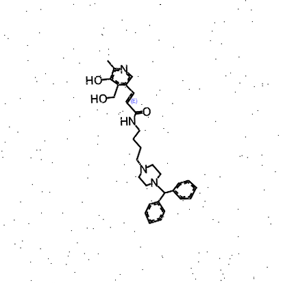 Cc1ncc(/C=C/C(=O)NCCCCN2CCN(C(c3ccccc3)c3ccccc3)CC2)c(CO)c1O